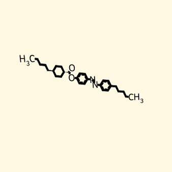 CCCCCc1ccc(N=Nc2ccc(OC(=O)[C@H]3CC[C@H](CCCCC)CC3)cc2)cc1